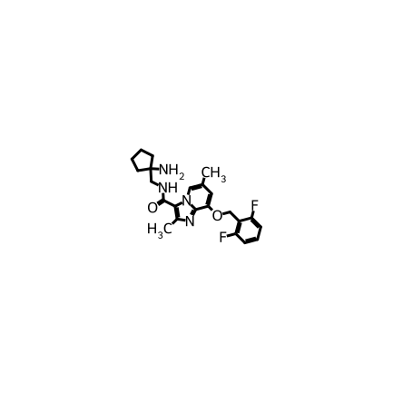 Cc1cc(OCc2c(F)cccc2F)c2nc(C)c(C(=O)NCC3(N)CCCC3)n2c1